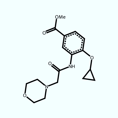 COC(=O)c1ccc(OC2CC2)c(NC(=O)CN2CCOCC2)c1